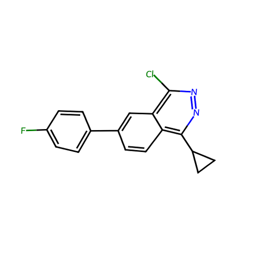 Fc1ccc(-c2ccc3c(C4CC4)nnc(Cl)c3c2)cc1